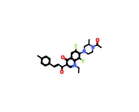 CCn1cc(C(=O)C=Cc2ccc(C)cc2)c(=O)c2cc(F)c(N3CCN(C(C)=O)C(C)C3)c(F)c21